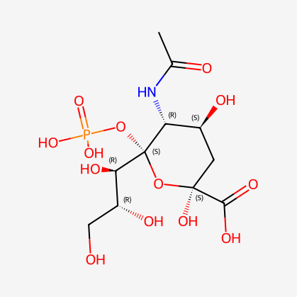 CC(=O)N[C@@H]1[C@@H](O)C[C@@](O)(C(=O)O)O[C@@]1(OP(=O)(O)O)[C@H](O)[C@H](O)CO